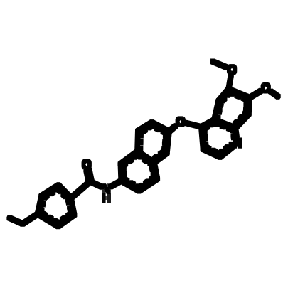 CCc1ccc(C(=O)Nc2ccc3cc(Oc4ccnc5cc(OC)c(OC)cc45)ccc3c2)cc1